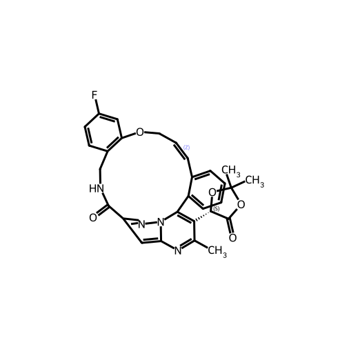 Cc1nc2cc3nn2c(c1[C@@H]1OC(C)(C)OC1=O)-c1ccccc1/C=C\COc1cc(F)ccc1CNC3=O